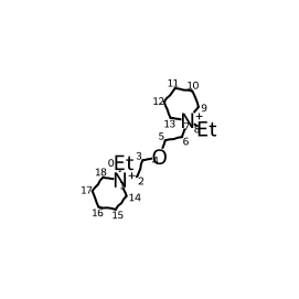 CC[N+]1(CCOCC[N+]2(CC)CCCCC2)CCCCC1